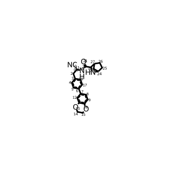 N#C[C@H](Cc1ccc(-c2ccc3c(c2)OCCO3)cc1)NC(=O)C1NC2CCC1C2